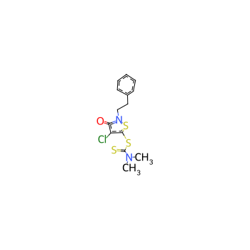 CN(C)C(=S)Sc1sn(CCc2ccccc2)c(=O)c1Cl